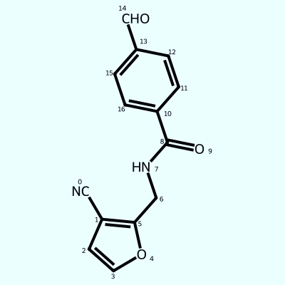 N#Cc1ccoc1CNC(=O)c1ccc(C=O)cc1